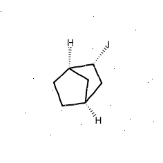 I[C@@H]1C[C@H]2CC[C@@H]1C2